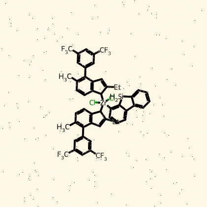 CCC1=Cc2c(ccc(C)c2-c2cc(C(F)(F)F)cc(C(F)(F)F)c2)[CH]1[Zr]([Cl])([Cl])([c]1cccc2c1[SiH2]c1ccccc1-2)[CH]1C(CC)=Cc2c1ccc(C)c2-c1cc(C(F)(F)F)cc(C(F)(F)F)c1